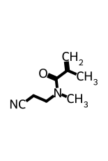 C=C(C)C(=O)N(C)CCC#N